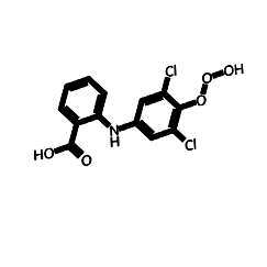 O=C(O)c1ccccc1Nc1cc(Cl)c(OOO)c(Cl)c1